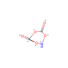 O=C1ONOC(=O)O1